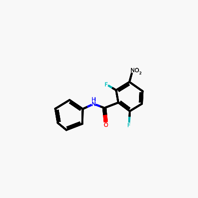 O=C(Nc1ccccc1)c1c(F)ccc([N+](=O)[O-])c1F